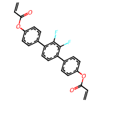 C=CC(=O)Oc1ccc(-c2ccc(-c3ccc(OC(=O)C=C)cc3)c(F)c2F)cc1